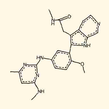 CNC(=O)Cc1c(-c2cc(Nc3nc(C)cc(NC)n3)ccc2OC)[nH]c2cnccc12